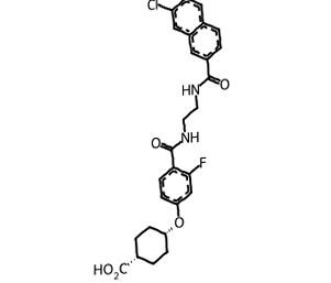 O=C(NCCNC(=O)c1ccc(O[C@H]2CC[C@@H](C(=O)O)CC2)cc1F)c1ccc2ccc(Cl)cc2c1